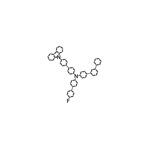 Fc1ccc(-c2ccc(N(c3ccc(-c4ccc(-n5c6ccccc6c6ccccc65)cc4)cc3)c3ccc(-c4cccc(-c5ccccc5)c4)cc3)cc2)cc1